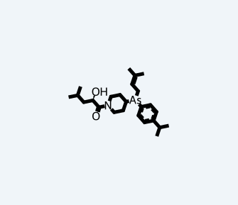 CC(C)=CC[As](c1ccc(C(C)C)cc1)C1CCN(C(=O)[C@@H](O)CC(C)C)CC1